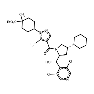 CCOC(=O)C1(C)CCC(n2ncc(C(=O)N3C[C@H](C4CCCCC4)C[C@H]3[C@@H](O)c3c(Cl)cncc3Cl)c2C(F)(F)F)CC1